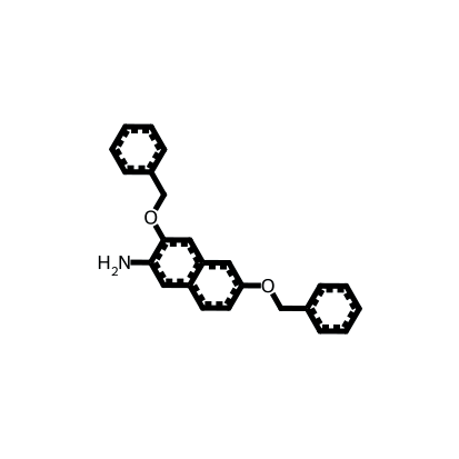 Nc1cc2ccc(OCc3ccccc3)cc2cc1OCc1ccccc1